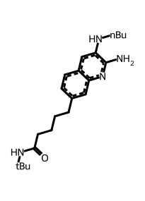 CCCCNc1cc2ccc(CCCCC(=O)NC(C)(C)C)cc2nc1N